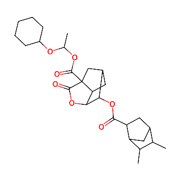 CC(OC(=O)C12CC3CC1C(OC2=O)C3OC(=O)C1CC2CC1C(C)C2C)OC1CCCCC1